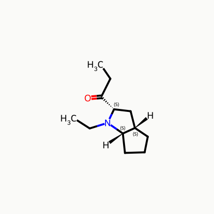 CCC(=O)[C@@H]1C[C@@H]2CCC[C@@H]2N1CC